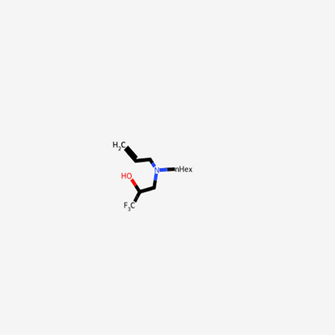 C=CCN(CCCCCC)CC(O)C(F)(F)F